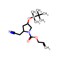 C=CCOC(=O)N1CC(O[Si](C)(C)C(C)(C)C)CC1CC#N